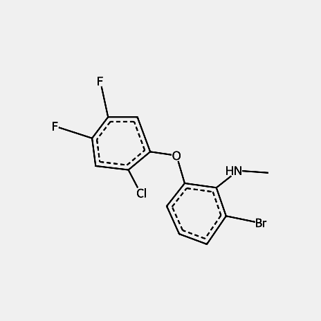 CNc1c(Br)cccc1Oc1cc(F)c(F)cc1Cl